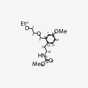 CCOCCOCc1cc(OC)ccc1CCNC(=O)OC